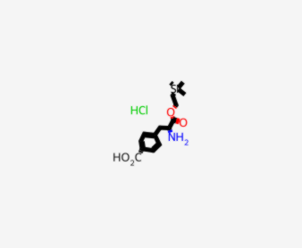 C[Si](C)(C)CCOC(=O)C(N)Cc1ccc(C(=O)O)cc1.Cl